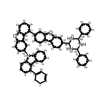 C1=CCCC(c2cccc3c2c2ccccc2n3-c2ccc3oc4cccc(-c5ccc6c(c5)oc5cc(C7NC(c8ccccc8)NC(c8ccccc8)N7)ccc56)c4c3c2)=C1